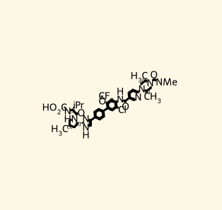 CNC(=O)N1C[C@@H](C)N(c2ccc(C(=O)Nc3cc(OC(F)(F)F)c(-c4ccc(-c5c[nH]c([C@@H]6C[C@H](C)CN6C(=O)[C@@H](NC(=O)O)C(C)C)n5)cc4)cc3Cl)cn2)C[C@@H]1C